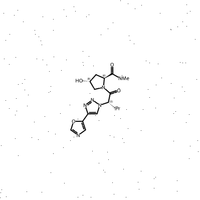 CNC(=O)[C@@H]1C[C@@H](O)CN1C(=O)[C@H](C(C)C)n1cc(-c2cnco2)nn1